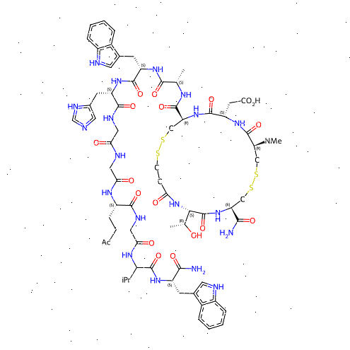 CN[C@H]1CSSC[C@@H](C(N)=O)NC(=O)[C@H]([C@@H](C)O)NC(=O)CCSSC[C@@H](C(=O)N[C@@H](C)C(=O)N[C@@H](Cc2c[nH]c3ccccc23)C(=O)N[C@@H](Cc2cnc[nH]2)C(=O)NCC(=O)NCC(=O)N[C@@H](CCC(C)=O)C(=O)NCC(=O)NC(C(=O)N[C@@H](Cc2c[nH]c3ccccc23)C(N)=O)C(C)C)NC(=O)[C@H](CC(=O)O)NC1=O